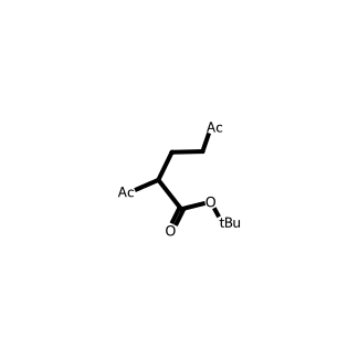 CC(=O)CCC(C(C)=O)C(=O)OC(C)(C)C